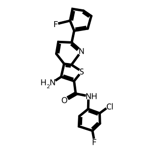 Nc1c(C(=O)Nc2ccc(F)cc2Cl)sc2nc(-c3ccccc3F)ccc12